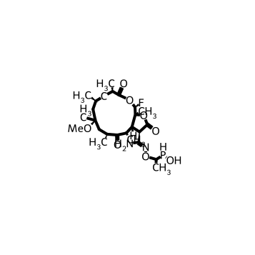 CO[C@@]1(C)C[C@@H](C)C[C@@H](C)C(=O)O[C@@H](F)[C@]2(C)OC(=O)[C@@H](/C(N)=N/OC(C)PO)[C@@H]2[C@@H](C)C(=O)[C@H](C)C1